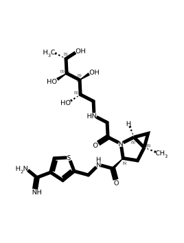 C[C@H](O)[C@H](O)[C@@H](O)[C@@H](O)CNCC(=O)N1[C@H]2C[C@@]2(C)C[C@H]1C(=O)NCc1cc(C(=N)N)cs1